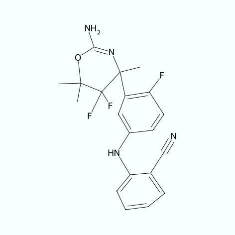 CC1(C)OC(N)=NC(C)(c2cc(Nc3ccccc3C#N)ccc2F)C1(F)F